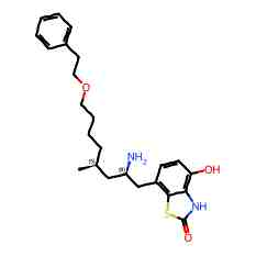 C[C@@H](CCCCOCCc1ccccc1)C[C@@H](N)Cc1ccc(O)c2[nH]c(=O)sc12